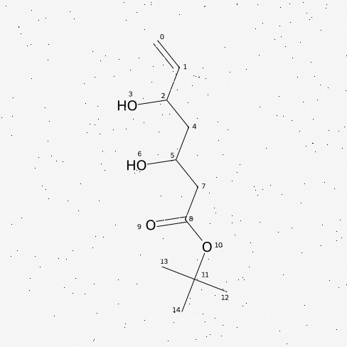 C=CC(O)CC(O)CC(=O)OC(C)(C)C